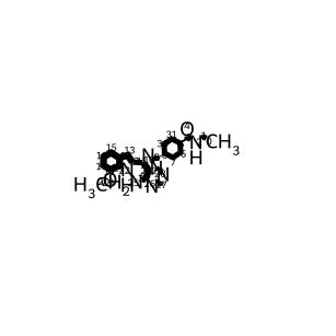 CCNC(=O)[C@H]1CC[C@H](c2nc(-c3cc4cccc(OC)c4[nH]3)c3c(N)ncnn32)CC1